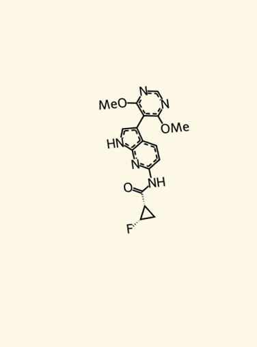 COc1ncnc(OC)c1-c1c[nH]c2nc(NC(=O)[C@@H]3C[C@@H]3F)ccc12